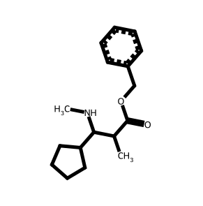 CNC(C1CCCC1)C(C)C(=O)OCc1ccccc1